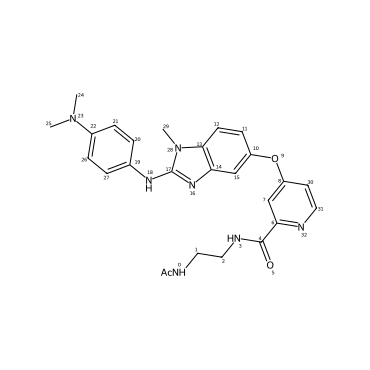 CC(=O)NCCNC(=O)c1cc(Oc2ccc3c(c2)nc(Nc2ccc(N(C)C)cc2)n3C)ccn1